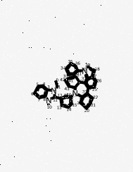 CCN1c2ccccc2N(C)C1c1cccc(N2c3ccccc3-c3ccc4ccn(-c5ccccc5)c4c3C3C=CC=CC32)c1